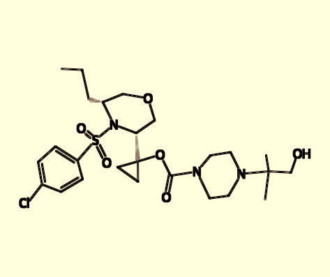 CCC[C@@H]1COC[C@H](C2(OC(=O)N3CCN(C(C)(C)CO)CC3)CC2)N1S(=O)(=O)c1ccc(Cl)cc1